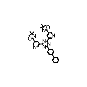 CC1(C)COC(c2cncc(-c3nc(-c4ccc(-c5ccccc5)cc4)nc(-c4cncc(C5=NC(C)(C)CO5)c4)n3)c2)=N1